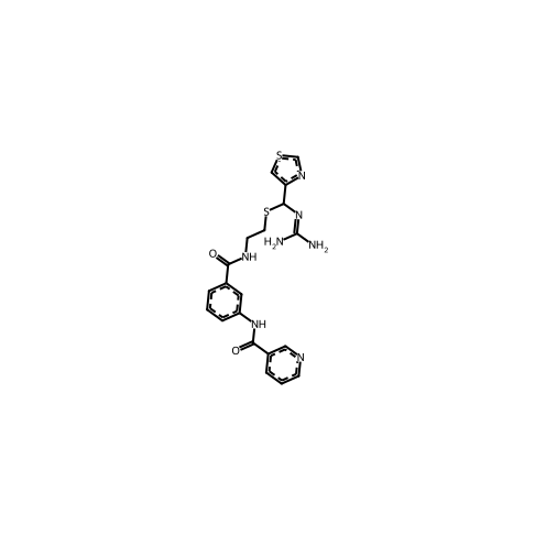 NC(N)=NC(SCCNC(=O)c1cccc(NC(=O)c2cccnc2)c1)c1cscn1